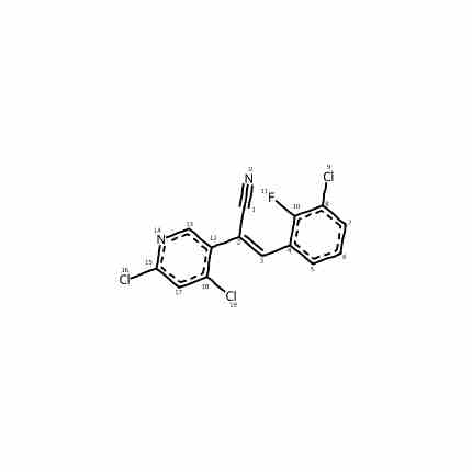 N#CC(=Cc1cccc(Cl)c1F)c1cnc(Cl)cc1Cl